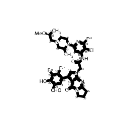 CO[C@@H](C)CN1CCN(c2cc(NC(=O)Cn3cc(-c4cc(C=O)c(O)c(F)c4F)c4c(=O)n5c(nc43)CCC5)c(Cl)c(F)n2)C(C)C1